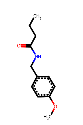 CCCC(=O)NCc1ccc(OC)cc1